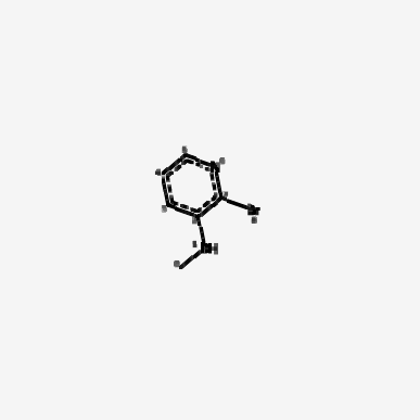 CBc1cccnc1Br